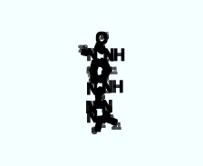 Cc1nnc(-c2nc3cc4c(cc3[nH]2)[nH]c(=O)n4C)nc1C